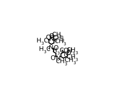 CON1C(C)(C)CC(N(C)C(=O)CCC(=O)N(C)C2CC(C)(C)N(OC)C(C)(C)C2)CC1(C)C